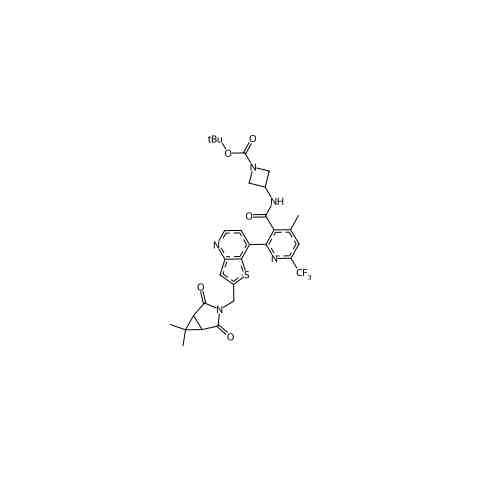 Cc1cc(C(F)(F)F)nc(-c2ccnc3cc(CN4C(=O)C5C(C4=O)C5(C)C)sc23)c1C(=O)NC1CN(C(=O)OC(C)(C)C)C1